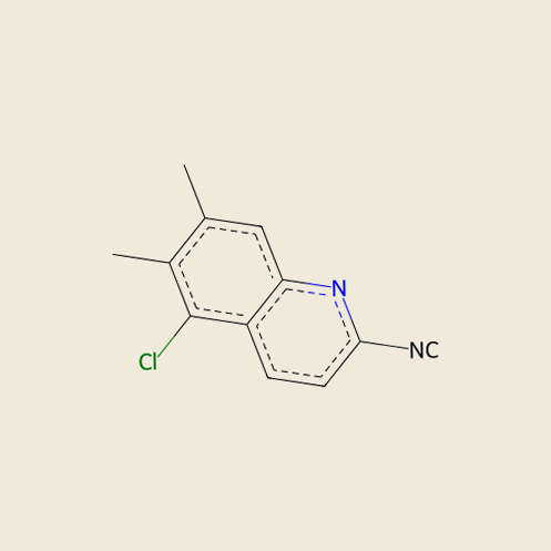 [C-]#[N+]c1ccc2c(Cl)c(C)c(C)cc2n1